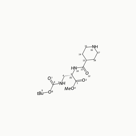 COC(=O)[C@H](CNC(=O)OC(C)(C)C)NC(=O)C1CCNCC1